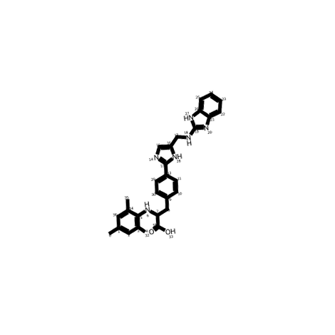 Cc1cc(C)c(NC(Cc2ccc(-c3ncc(CNc4nc5ccccc5[nH]4)[nH]3)cc2)C(=O)O)c(C)c1